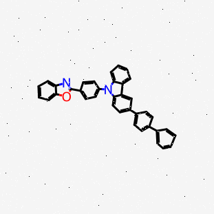 c1ccc(-c2ccc(-c3ccc4c(c3)c3ccccc3n4-c3ccc(-c4nc5ccccc5o4)cc3)cc2)cc1